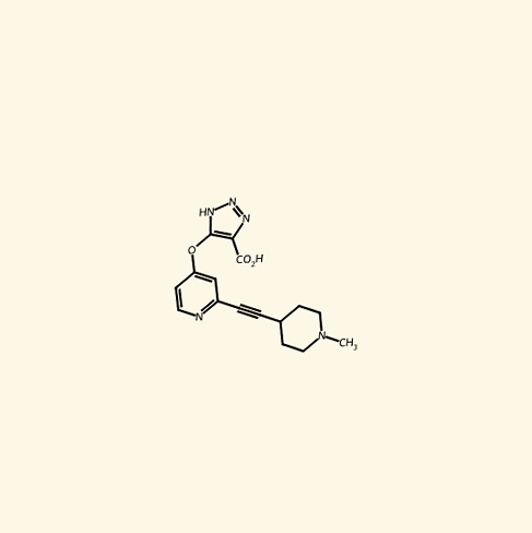 CN1CCC(C#Cc2cc(Oc3[nH]nnc3C(=O)O)ccn2)CC1